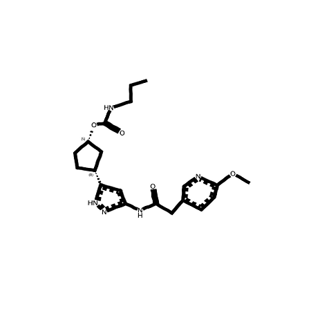 CCCNC(=O)O[C@H]1CC[C@@H](c2cc(NC(=O)Cc3ccc(OC)nc3)n[nH]2)C1